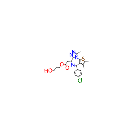 Cc1sc2c(c1C)C(c1ccc(Cl)cc1)=N[C@@H](CC(=O)OCCCO)c1nnc(C)n1-2